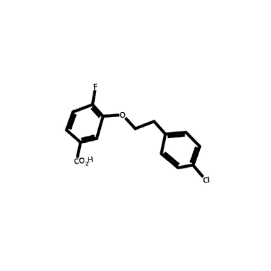 O=C(O)c1ccc(F)c(OCCc2ccc(Cl)cc2)c1